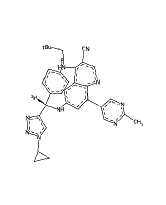 [2H][C@](Nc1cc(-c2cnc(C)nc2)c2ncc(C#N)c(NCC(C)(C)C)c2c1)(c1ccc(F)cc1)c1cn(C2CC2)nn1